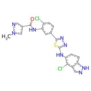 Cn1cc(C(=O)Nc2cc(-c3nnc(Nc4ccc5[nH]ncc5c4Cl)s3)ccc2Cl)cn1